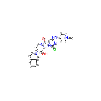 CC(=O)N1CCC(Nc2cc(C(=O)N3CCC(N4CCc5ccccc5C4)[C@@H](O)C3)nc(Cl)n2)CC1